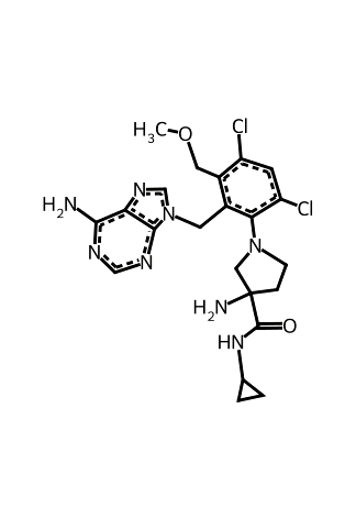 COCc1c(Cl)cc(Cl)c(N2CCC(N)(C(=O)NC3CC3)C2)c1Cn1cnc2c(N)ncnc21